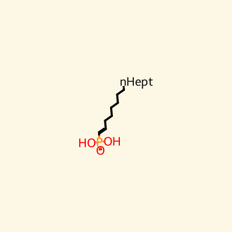 CCCCCCCCCCCCCC=CP(=O)(O)O